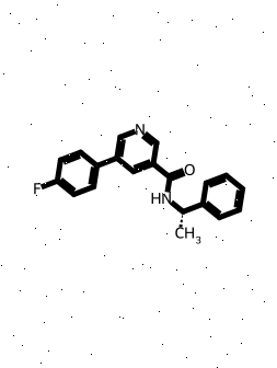 C[C@H](NC(=O)c1cncc(-c2ccc(F)cc2)c1)c1ccccc1